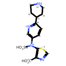 O=C(O)c1ncsc1N(c1ccc(C2CCNCC2)nc1)S(=O)(=O)O